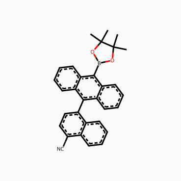 CC1(C)OB(c2c3ccccc3c(-c3ccc(C#N)c4ccccc34)c3ccccc23)OC1(C)C